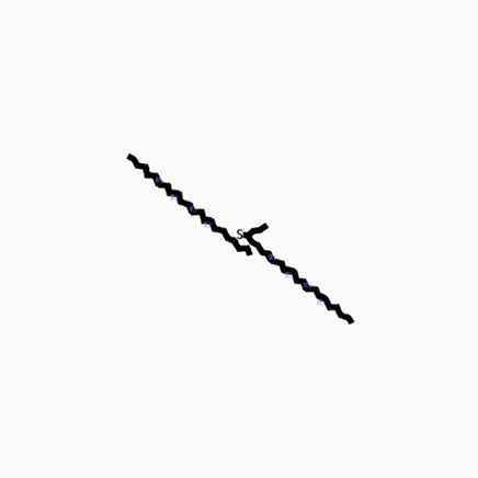 CCCCC/C=C/C/C=C/C/C=C/C/C=C/CCCC(CCC)SC(CCC)CCC/C=C/C/C=C/C/C=C/C/C=C/CCCCC